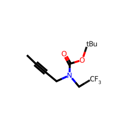 CC#CCN(CC(F)(F)F)C(=O)OC(C)(C)C